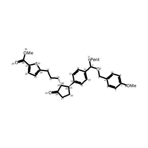 CCCCCC(OCc1ccc(OC)cc1)c1ccc([C@H]2CCC(=O)[C@@H]2CCCc2ccc(C(=O)OC)s2)cc1